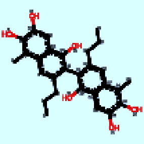 CCCc1cc2c(C)c(O)c(O)cc2c(O)c1-c1c(CCC)cc2c(C)c(O)c(O)cc2c1O